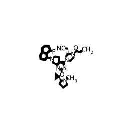 C=CC(=O)N1CCN(c2nc(OC3([C@@H]4CCCN4C)CC3)nc3c2CCN(c2cccc4cccc(F)c24)C3)C[C@@H]1CC#N